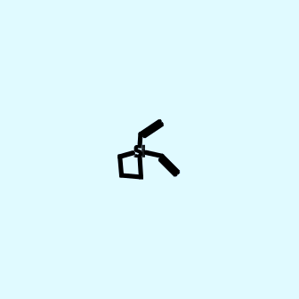 C=C[Si]1(C=C)CCC1